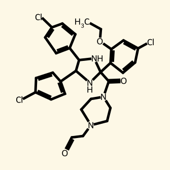 CCOc1cc(Cl)ccc1C1(C(=O)N2CCN(CC=O)CC2)NC(c2ccc(Cl)cc2)C(c2ccc(Cl)cc2)N1